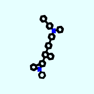 c1ccc(-c2ccc(N(c3ccccc3)c3ccc(-c4ccc(-c5ccc(-c6ccc7c(c6)c6ccccc6n7C6CCCCC6)c6ccccc56)cc4)cc3)cc2)cc1